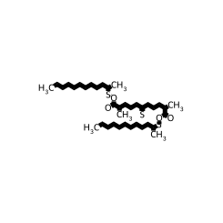 CCCCCCCCCCC(C)SOC(=O)C(C)CCCC(=S)CCCC(C)C(=O)OSC(C)CCCCCCCCCC